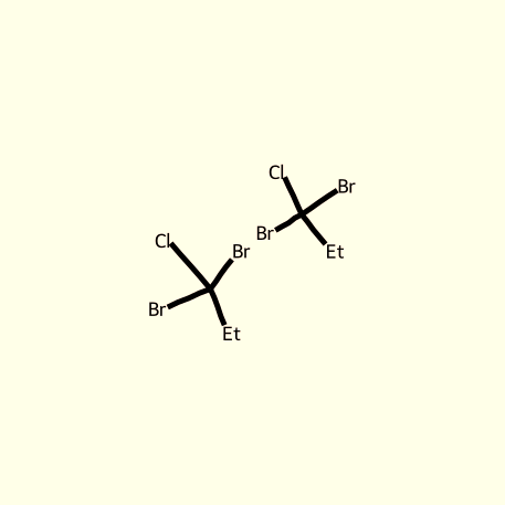 CCC(Cl)(Br)Br.CCC(Cl)(Br)Br